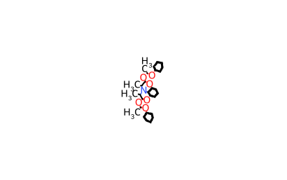 CC(OC(=O)C(C)N(c1ccccc1)C(C)C(=O)OC(C)Oc1ccccc1)Oc1ccccc1